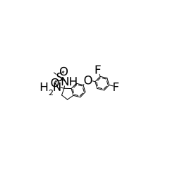 CS(=O)(=O)NC1(N)CCc2ccc(Oc3ccc(F)cc3F)cc21